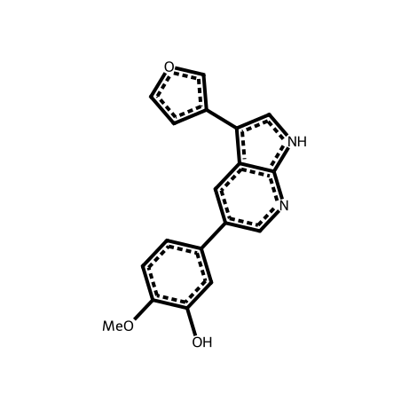 COc1ccc(-c2cnc3[nH]cc(-c4ccoc4)c3c2)cc1O